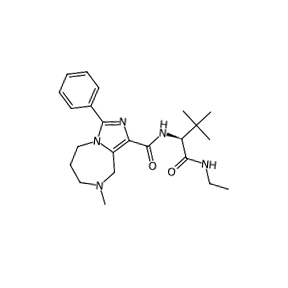 CCNC(=O)[C@@H](NC(=O)c1nc(-c2ccccc2)n2c1CN(C)CCC2)C(C)(C)C